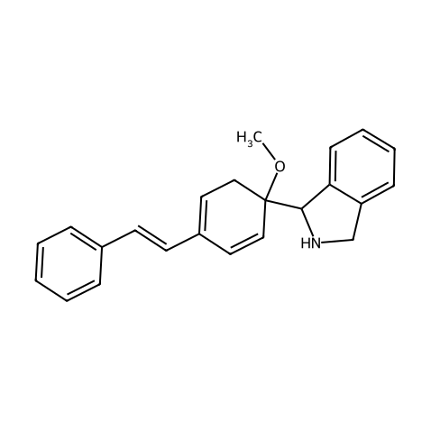 COC1(C2NCc3ccccc32)C=CC(C=Cc2ccccc2)=CC1